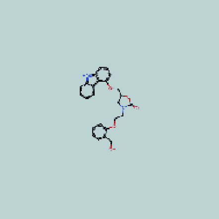 O=C1OC(COc2cccc3[nH]c4ccccc4c23)CN1CCOc1ccccc1CO